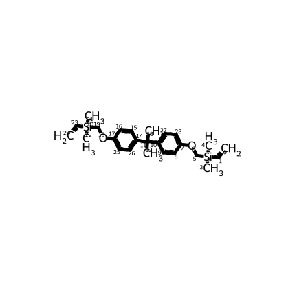 C=C[Si](C)(C)COc1ccc(C(C)(C)c2ccc(OC[Si](C)(C)C=C)cc2)cc1